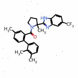 Cc1ccc(-c2cccc(C)c2C)c(C(=O)N2CCCC2(C)c2nc3cc(C(F)(F)F)ccc3[nH]2)c1